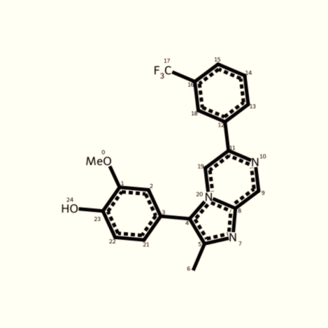 COc1cc(-c2c(C)nc3cnc(-c4cccc(C(F)(F)F)c4)cn23)ccc1O